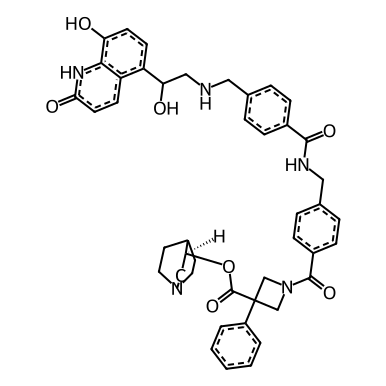 O=C(NCc1ccc(C(=O)N2CC(C(=O)O[C@H]3CN4CCC3CC4)(c3ccccc3)C2)cc1)c1ccc(CNCC(O)c2ccc(O)c3[nH]c(=O)ccc23)cc1